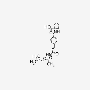 CC(C)COC(C)ONC(=O)/C=C/c1ccc(CNC2(C(=O)O)CCCC2)cc1